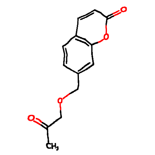 CC(=O)COCc1ccc2ccc(=O)oc2c1